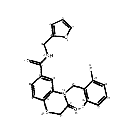 O=C(NCc1ccco1)c1ccc2c(c1)N(Cc1c(F)cccc1F)C(=O)CS2